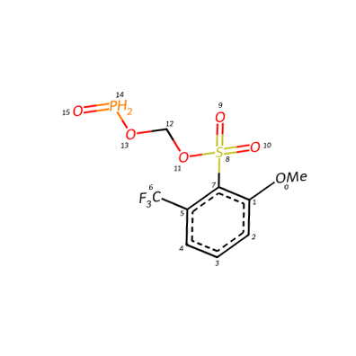 COc1cccc(C(F)(F)F)c1S(=O)(=O)OCO[PH2]=O